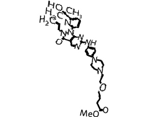 C=CCn1c(=O)c2cnc(Nc3ccc(N4CCN(CCOCCCC(=O)OC)CC4)cc3)nc2n1-c1cccc(C(C)(C)O)n1